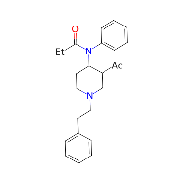 CCC(=O)N(c1ccccc1)C1CCN(CCc2ccccc2)CC1C(C)=O